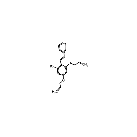 C=CCOc1cc(O)c(C=Cc2ccccc2)c(OCC=C)c1